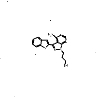 Nc1ncnc2c1c(-c1cc3ccccc3s1)nn2CCCS